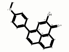 COc1ccc(-c2ccc3cccc4c3c2C=C(O)C4=O)cc1